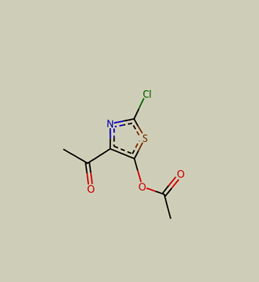 CC(=O)Oc1sc(Cl)nc1C(C)=O